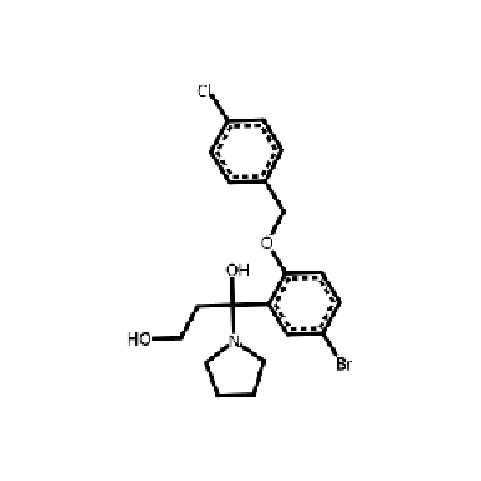 OCCC(O)(c1cc(Br)ccc1OCc1ccc(Cl)cc1)N1CCCC1